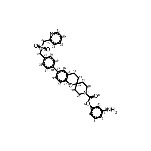 Nc1cccc(OC(=O)N2CCC3(CCc4cc(-c5ccc(CS(=O)(=O)Cc6ccccn6)cc5)ccc4O3)CC2)c1